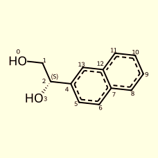 OC[C@@H](O)c1ccc2ccccc2c1